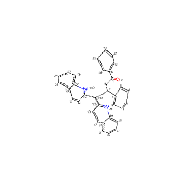 O=C(CC(c1ccccc1)C(c1ccc2ccccc2n1)c1ccc2ccccc2n1)c1ccccc1